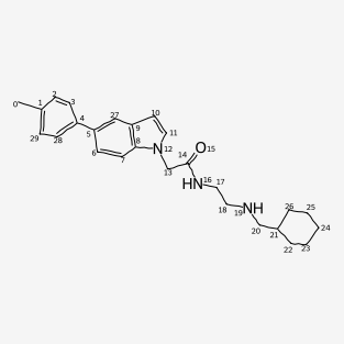 Cc1ccc(-c2ccc3c(ccn3CC(=O)NCCNCC3CCCCC3)c2)cc1